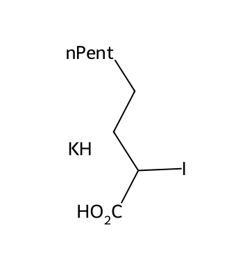 CCCCCCCC(I)C(=O)O.[KH]